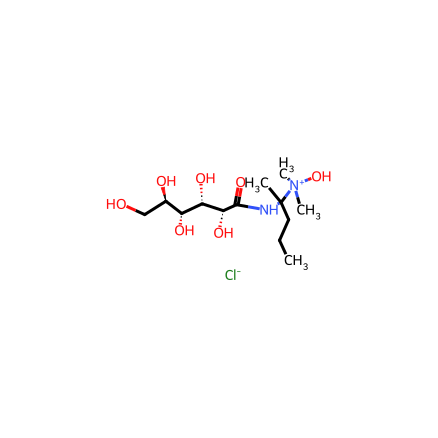 CCCC(C)(NC(=O)[C@H](O)[C@@H](O)[C@H](O)[C@H](O)CO)[N+](C)(C)O.[Cl-]